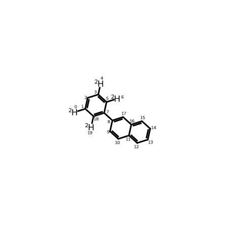 [2H]c1cc([2H])c([2H])c(-c2ccc3ccccc3c2)c1[2H]